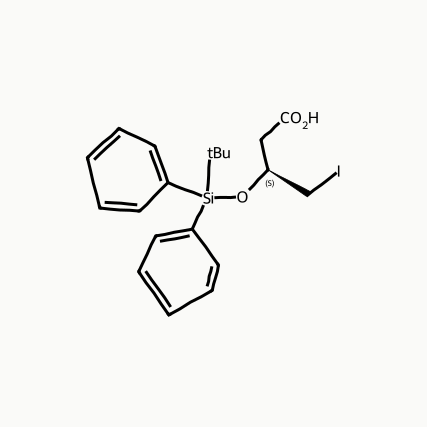 CC(C)(C)[Si](O[C@H](CI)CC(=O)O)(c1ccccc1)c1ccccc1